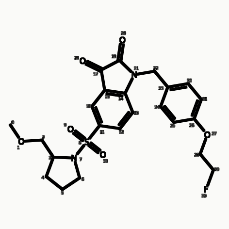 COCC1CCCN1S(=O)(=O)c1ccc2c(c1)C(=O)C(=O)N2Cc1ccc(OCCF)cc1